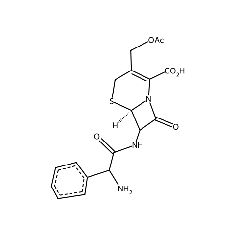 CC(=O)OCC1=C(C(=O)O)N2C(=O)C(NC(=O)C(N)c3ccccc3)[C@H]2SC1